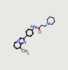 Cc1cccn2cc(-c3ccc(NC(=O)CCN4CCCCC4)cc3)nc12